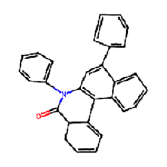 O=C1C2CC=CC=C2c2c(cc(-c3ccccc3)c3ccccc23)N1c1ccccc1